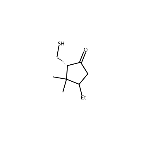 CCC1CC(=O)[C@@H](CS)C1(C)C